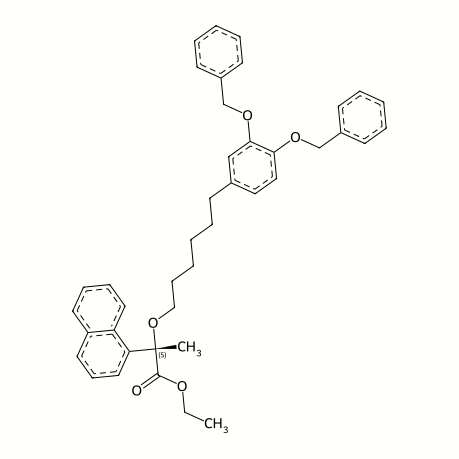 CCOC(=O)[C@@](C)(OCCCCCCc1ccc(OCc2ccccc2)c(OCc2ccccc2)c1)c1cccc2ccccc12